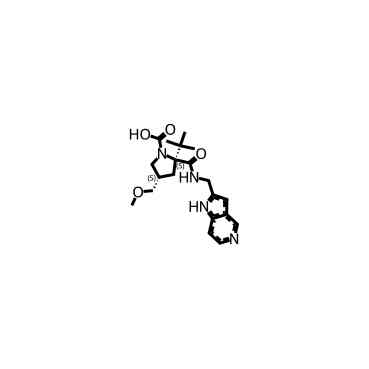 COC[C@@H]1CN(C(=O)O)[C@](C(=O)NCc2cc3cnccc3[nH]2)(C(C)(C)C)C1